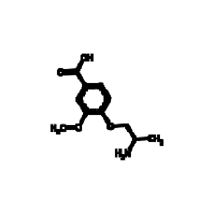 COc1cc(C(=O)O)ccc1OCC(C)N